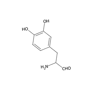 NC(C=O)Cc1ccc(O)c(O)c1